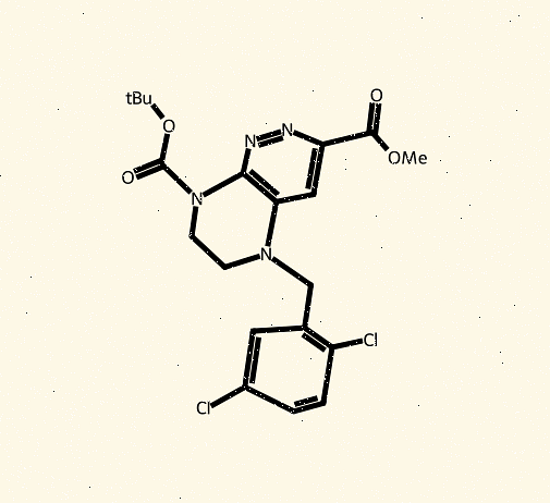 COC(=O)c1cc2c(nn1)N(C(=O)OC(C)(C)C)CCN2Cc1cc(Cl)ccc1Cl